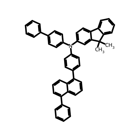 CC1(C)c2ccccc2-c2ccc(N(c3ccc(-c4ccccc4)cc3)c3ccc(-c4cccc5c(-c6ccccc6)cccc45)cc3)cc21